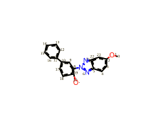 COc1ccc2nn(-c3cc(-c4ccccc4)ccc3[O])nc2c1